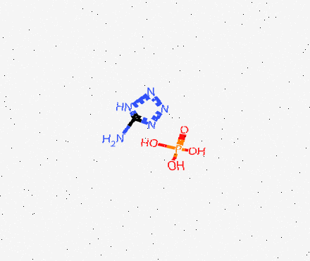 Nc1nnn[nH]1.O=P(O)(O)O